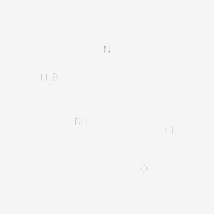 B=C(B)C(/C=C(\C)C(=O)Cl)=N/C